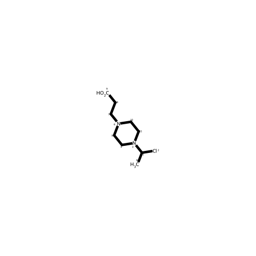 CC(Cl)N1CCN(CCC(=O)O)CC1